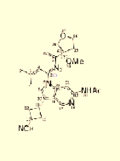 C=C(/N=C(\C=C(C)C)n1cc([C@H]2C[C@@H](C#N)C2)c2cnc(NC(C)=O)cc21)[C@]1(OC)CCOC1